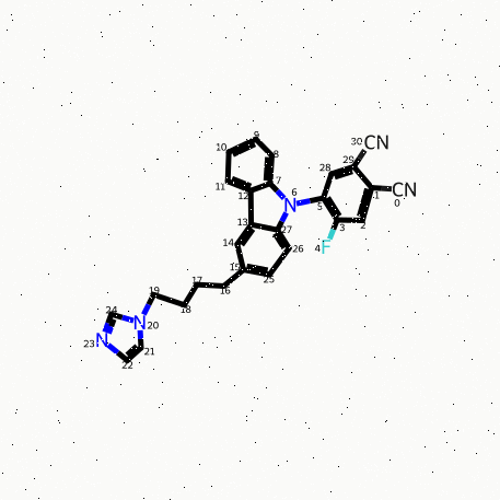 N#Cc1cc(F)c(-n2c3ccccc3c3cc(CCCCn4ccnc4)ccc32)cc1C#N